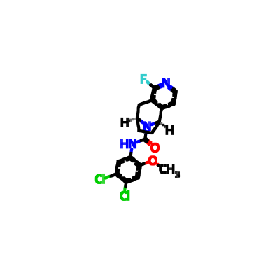 COc1cc(Cl)c(Cl)cc1NC(=O)N1[C@H]2CC[C@@H]1c1ccnc(F)c1C2